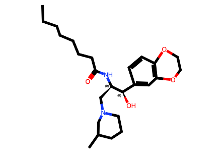 CCCCCCCC(=O)N[C@H](CN1CCCC(C)C1)[C@H](O)c1ccc2c(c1)OCCO2